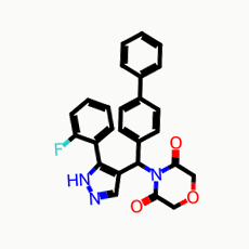 O=C1COCC(=O)N1C(c1ccc(-c2ccccc2)cc1)c1cn[nH]c1-c1ccccc1F